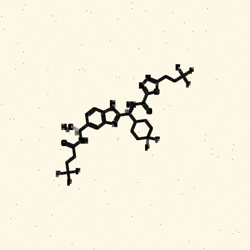 C[C@@H](NC(=O)CCC(F)(F)F)c1ccc2[nH]c([C@@H](NC(=O)c3nnc(CCC(F)(F)F)o3)C3CCC(F)(F)CC3)nc2c1